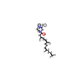 CC(C)=CCCC(C)=CCCC(C)=CCCC(C)CC(=O)N1CCN(C=O)CC1